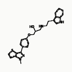 Cn1nc(-c2ccc(OCC(O)CNCCc3c[nH]c4ccccc34)cc2)c2sccc21